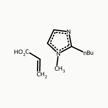 C=CC(=O)O.CCCCc1nccn1C